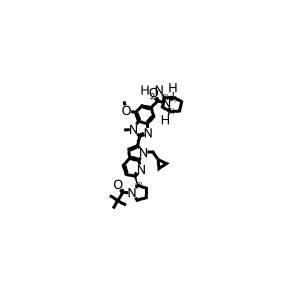 COc1cc(C(=O)N2[C@H]3CC[C@@H]2[C@H](N)C3)cc2nc(-c3cc4ccc([C@H]5CCCN5C(=O)C(C)(C)C)nc4n3CC3CC3)n(C)c12